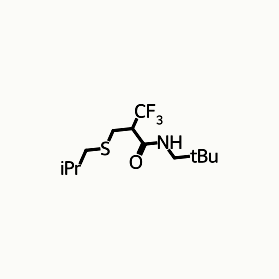 CC(C)CSCC(C(=O)NCC(C)(C)C)C(F)(F)F